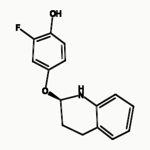 Oc1ccc(O[C@@H]2CCc3ccccc3N2)cc1F